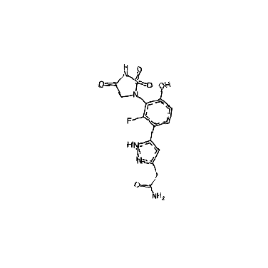 NC(=O)Cc1cc(-c2ccc(O)c(N3CC(=O)NS3(=O)=O)c2F)[nH]n1